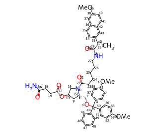 COc1ccc(C(OC[C@@H]2C[C@@H](OC(=O)CCC(N)=O)CN2C(=O)CCCCCNC(=O)[C@@H](C)c2ccc3cc(OC)ccc3c2)(c2ccccc2)c2ccc(OC)cc2)cc1